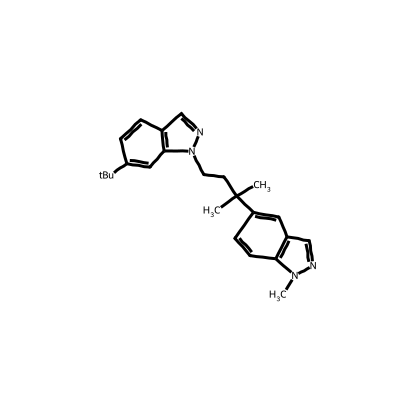 Cn1ncc2cc(C(C)(C)CCn3ncc4ccc(C(C)(C)C)cc43)ccc21